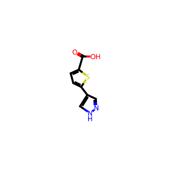 O=C(O)c1ccc(-c2cn[nH]c2)s1